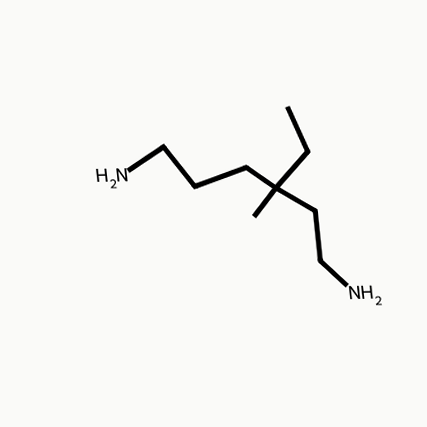 CCC(C)(CCN)CCCN